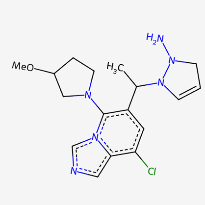 COC1CCN(c2c(C(C)N3C=CCN3N)cc(Cl)c3cncn23)C1